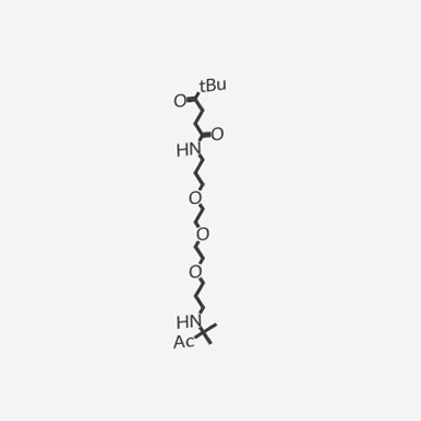 CC(=O)C(C)(C)NCCCOCCOCCOCCCNC(=O)CCC(=O)C(C)(C)C